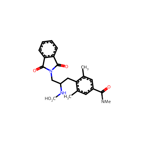 CNC(=O)c1cc(C)c(CC(CN2C(=O)c3ccccc3C2=O)NC(=O)O)c(C)c1